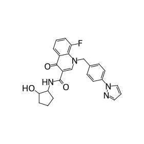 O=C(NC1CCCC1O)c1cn(Cc2ccc(-n3cccn3)cc2)c2c(F)cccc2c1=O